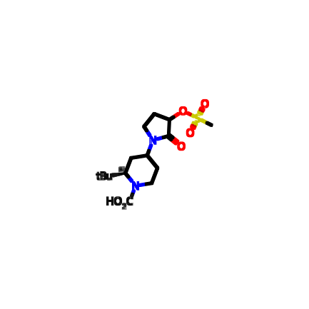 CC(C)(C)[C@H]1CC(N2CCC(OS(C)(=O)=O)C2=O)CCN1C(=O)O